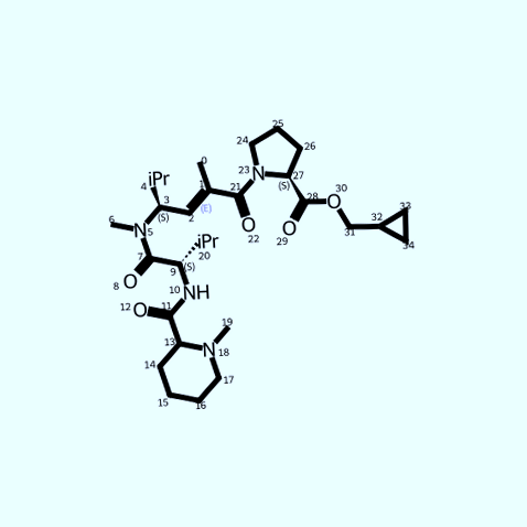 C/C(=C\[C@H](C(C)C)N(C)C(=O)[C@@H](NC(=O)C1CCCCN1C)C(C)C)C(=O)N1CCC[C@H]1C(=O)OCC1CC1